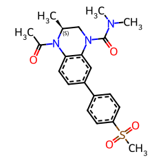 CC(=O)N1c2ccc(-c3ccc(S(C)(=O)=O)cc3)cc2N(C(=O)N(C)C)C[C@@H]1C